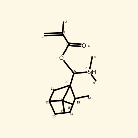 C=C(C)C(=O)OC([SiH](C)C)C12CC(CCC1C)C2(C)C